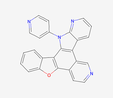 c1ccc2c(c1)oc1c3ccncc3c3c4cccnc4n(-c4ccncc4)c3c21